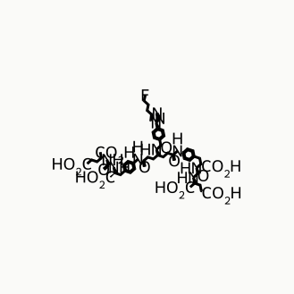 O=C(O)CCC(NC(=O)N[C@@H](Cc1ccc(NC(=O)CCC(CCC(=O)Nc2ccc(C[C@H](NC(=O)NC(CCC(=O)O)C(=O)O)C(=O)O)cc2)NC(=O)c2ccc(-n3cc(CCCF)nn3)cc2)cc1)C(=O)O)C(=O)O